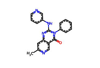 Cc1cc2nc(Nc3cccnc3)n(-c3ccccc3)c(=O)c2cn1